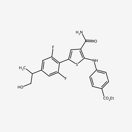 CCOC(=O)c1ccc(Nc2sc(-c3c(F)cc(C(C)CO)cc3F)cc2C(N)=O)cc1